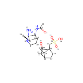 CC(=O)NC1C2CCN(CC2)[C@@H]1N.CC1(C)C2CCC1(CS(=O)(=O)O)C(=O)C2